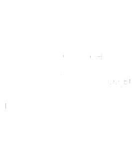 CCOC(=O)C(O)=CC(=O)c1ccc(F)cc1